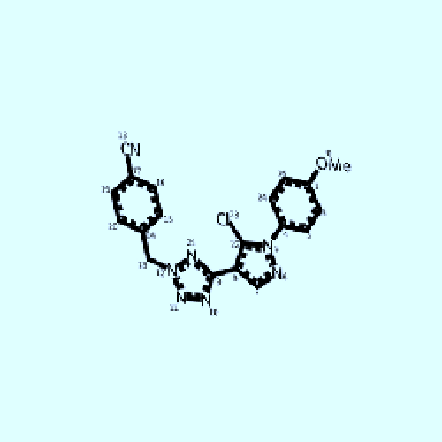 COc1ccc(-n2ncc(-c3nnn(Cc4ccc(C#N)cc4)n3)c2Cl)cc1